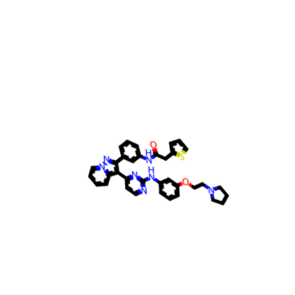 O=C(Cc1cccs1)Nc1cccc(-c2nn3ccccc3c2-c2ccnc(Nc3cccc(OCCN4CCCC4)c3)n2)c1